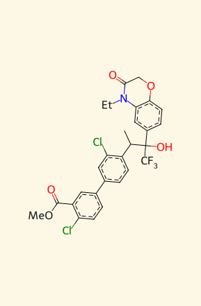 CCN1C(=O)COc2ccc(C(O)(C(C)c3ccc(-c4ccc(Cl)c(C(=O)OC)c4)cc3Cl)C(F)(F)F)cc21